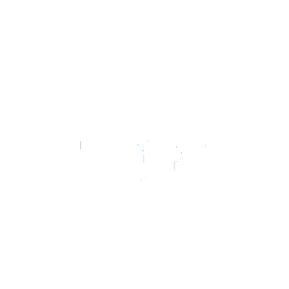 CC(C)CC(N)C(=O)O.CCN(CC)C(=O)CC(C)C